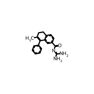 CC1=C(c2ccccc2)c2cc(C(=O)N=C(N)N)ccc2CC1